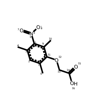 Cc1cc(C)c([N+](=O)[O-])c(C)c1OCC(=O)O